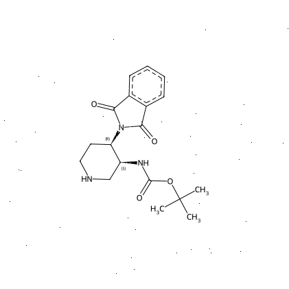 CC(C)(C)OC(=O)N[C@H]1CNCC[C@H]1N1C(=O)c2ccccc2C1=O